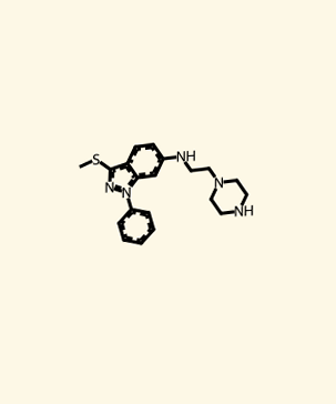 CSc1nn(-c2ccccc2)c2cc(NCCN3CCNCC3)ccc12